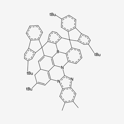 Cc1cc2nc3n(c2cc1C)C1=C2C4=C5B6c7c(cccc7C7(c8cc(C(C)(C)C)ccc8-c8ccc(C(C)(C)C)cc87)c7cccc(c76)C6(C5=CC2CC(C(C)(C)C)=C1)c1ccccc1-c1ccc(C(C)(C)C)cc16)N43